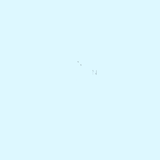 c1ccc(-c2cccc(-c3cc(-c4ccccc4)cc(-n4c5ccccc5c5c6c7ccccc7ccc6c6ccccc6c54)n3)c2)cc1